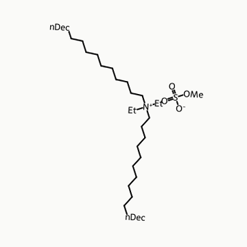 CCCCCCCCCCCCCCCCCCCC[N+](CC)(CC)CCCCCCCCCCCCCCCCCCCC.COS(=O)(=O)[O-]